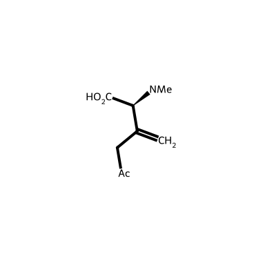 C=C(CC(C)=O)[C@H](NC)C(=O)O